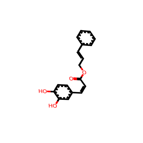 O=C(/C=C\c1ccc(O)c(O)c1)OCC=Cc1ccccc1